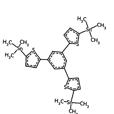 [CH3][Sn]([CH3])([CH3])[c]1ccc(-c2cc(-c3cc[c]([Sn]([CH3])([CH3])[CH3])s3)cc(-c3cc[c]([Sn]([CH3])([CH3])[CH3])s3)c2)s1